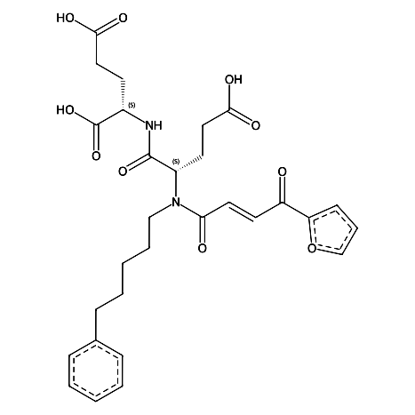 O=C(O)CC[C@H](NC(=O)[C@H](CCC(=O)O)N(CCCCCc1ccccc1)C(=O)C=CC(=O)c1ccco1)C(=O)O